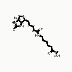 O=C(CCCCCNC(=O)CCCCC1SC[C@@H]2NC(=O)NC12)NS